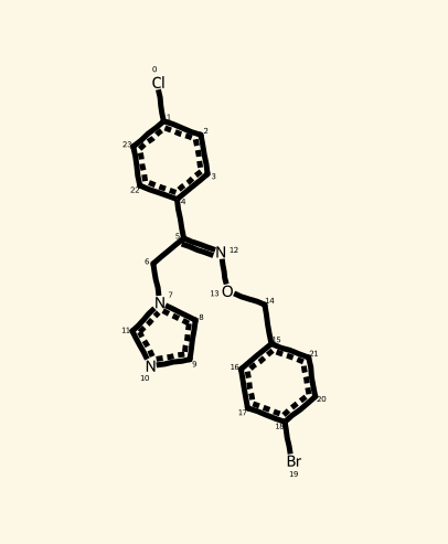 Clc1ccc(C(Cn2ccnc2)=NOCc2ccc(Br)cc2)cc1